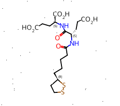 O=C(O)CC[C@H](NC(=O)[C@H](CCC(=O)O)NC(=O)CCCC[C@@H]1CCSS1)C(=O)O